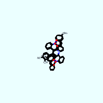 CC(C)(C)c1ccc2c(c1)c1ccccc1n2-c1ccccc1-c1nc(-c2ccccc2)c(-c2ccccc2-n2c3ccccc3c3cc(C(C)(C)C)ccc32)c(-c2ccc(C#N)c(C#N)c2)c1-c1ccccc1